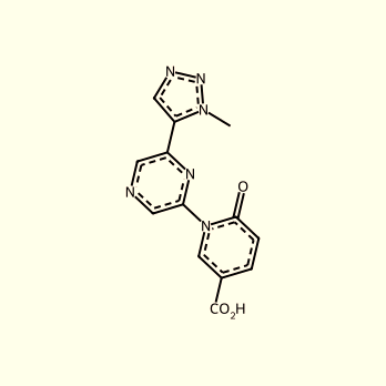 Cn1nncc1-c1cncc(-n2cc(C(=O)O)ccc2=O)n1